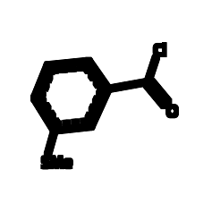 CSc1cccc(C(=O)Cl)c1